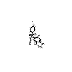 COc1cc(C)c2c(c(C#N)cn2S(=O)(=O)c2ccc(C)cc2)c1CO